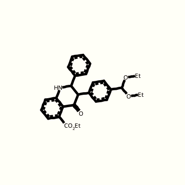 CCOC(=O)c1cccc2c1C(=O)C(c1ccc(C(OCC)OCC)cc1)C(c1ccccc1)N2